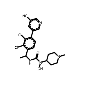 CC(NC(=O)N(O)C1CCN(C)CC1)c1ccc(-c2cncc(C#N)c2)c(Cl)c1Cl